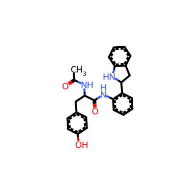 CC(=O)NC(Cc1ccc(O)cc1)C(=O)Nc1ccccc1C1Cc2ccccc2N1